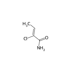 CC=C(Cl)C(N)=O